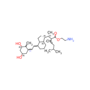 C=C1/C(=C\C=C2CCC[C@@]3(C)C2CC[C@@H]3[C@H](C)C(CCC(C)C)C(=O)OCCN)C[C@@H](O)C[C@H]1O